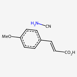 COc1ccc(C=CC(=O)O)cc1.N#CN